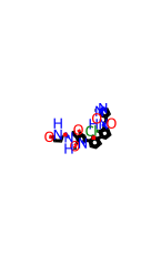 COc1nc(-c2cccc(-c3cccc(NC(=O)c4ccnn(C)c4=O)c3Cl)c2C)cc2c1[C@@H](NC[C@@H]1CCC(=O)N1)CO2